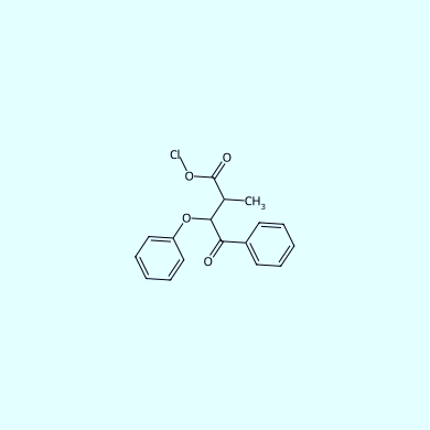 CC(C(=O)OCl)C(Oc1ccccc1)C(=O)c1ccccc1